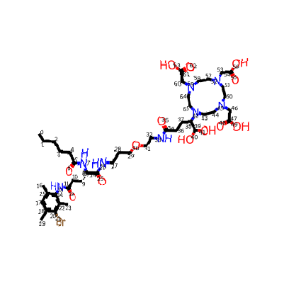 CCCCCC(=O)N[C@@H](CCC(=O)Nc1c(C)cc(C)c(Br)c1C)C(=O)NCCCOCCNC(=O)CCC(C(O)O)N1CCN(CC(=O)O)CCN(CC(=O)O)CCN(CC(=O)O)CC1